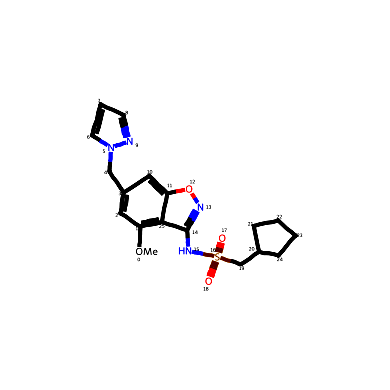 COc1cc(Cn2cccn2)cc2onc(NS(=O)(=O)CC3CCCC3)c12